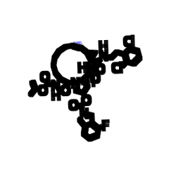 C=C(C)OC(=O)NC1CCCCC/C=C\C2CC2(C(=O)NCCc2c(Cl)cccc2Cl)NC(=O)[C@@H]2CC(OC(=O)N3Cc4cccc(F)c4C3)CN2C1=O